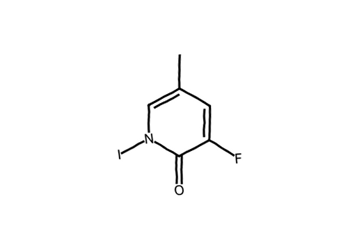 Cc1cc(F)c(=O)n(I)c1